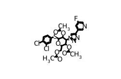 CC(=O)OCC1OC(Sc2ccc(Cl)c(Cl)c2)C(OC(C)=O)C(n2cc(-c3cncc(F)c3)nn2)C1OC(C)=O